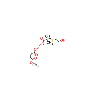 COC(=O)/C=C\C(=O)OCCOC(=O)C(C)(C)CSCCO